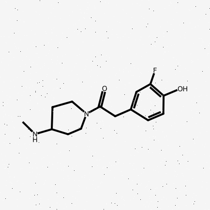 CNC1CCN(C(=O)Cc2ccc(O)c(F)c2)CC1